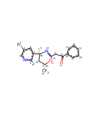 C[C@@]1(c2cc(Br)cnc2F)C[C@@H](C(F)(F)F)OC(CC(=O)c2ccccc2)=N1